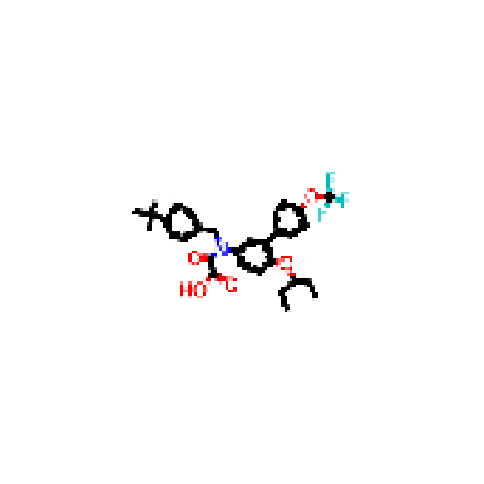 CCC(CC)Oc1ccc(N(Cc2ccc(C(C)(C)C)cc2)C(=O)C(=O)O)cc1-c1ccc(OC(F)(F)F)cc1